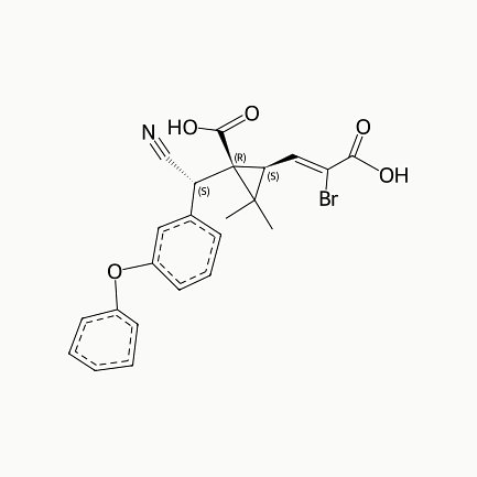 CC1(C)[C@H](C=C(Br)C(=O)O)[C@@]1(C(=O)O)[C@@H](C#N)c1cccc(Oc2ccccc2)c1